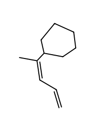 C=C/C=C(/C)C1CCCCC1